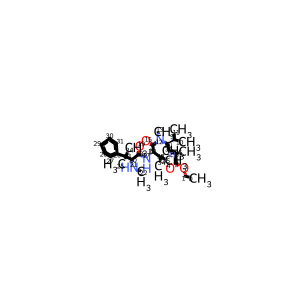 CCOC(=O)/C(C)=C/[C@H](C(C)C)N(C)C(=O)[C@@H](NC(=O)C(NC)C(C)(C)c1ccccc1)C(C)(C)C